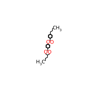 CCCCc1ccc(C(=O)Oc2ccc(C3OCC(CCCC)CO3)cc2)cc1